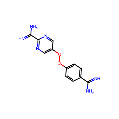 N=C(N)c1ccc(OOc2cnc(C(=N)N)nc2)cc1